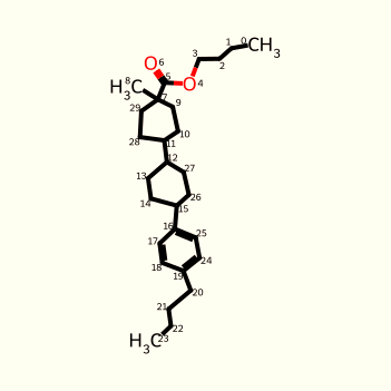 CCCCOC(=O)C1(C)CCC(C2CCC(c3ccc(CCCC)cc3)CC2)CC1